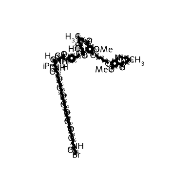 COc1cc2c(cc1OCCCCCOc1cc3c(cc1OC)C(=O)N1C=C(C)C[C@H]1[C@H](O)N3C(=O)OCc1ccc(NC(=O)[C@H](C)NC(=O)[C@@H](NC(=O)CCOCCOCCOCCOCCOCCOCCOCCOCCNC(=O)CBr)C(C)C)cc1)N=CC1CC(C)=CN1C2=O